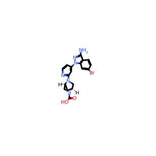 Nc1nn(-c2ccnc(N3C[C@@H]4C[C@H]3CN4C(=O)O)c2)c2cc(Br)ccc12